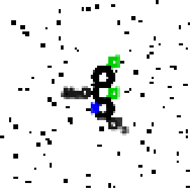 COC(c1ccc(Cl)cc1)c1ncc(C(F)(F)F)cc1Cl